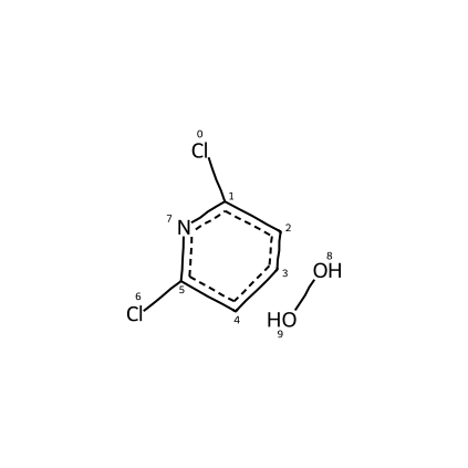 Clc1cccc(Cl)n1.OO